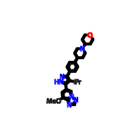 COc1cc(-c2[nH]nc(-c3ccc(C4CCN(C5CCOCC5)CC4)cc3)c2C(C)C)cn2ncnc12